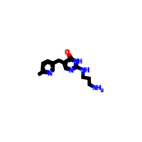 Cc1ccc(Cc2cnc(NCCCN)[nH]c2=O)cn1